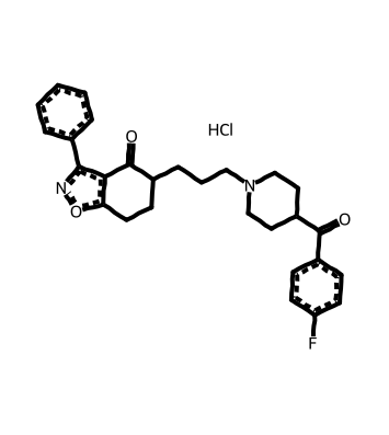 Cl.O=C(c1ccc(F)cc1)C1CCN(CCCC2CCc3onc(-c4ccccc4)c3C2=O)CC1